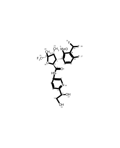 COc1c([C@@H]2[C@@H](C(=O)Nc3ccc([C@@H](O)CO)nc3)O[C@](C)(C(F)(F)F)[C@@H]2C)ccc(F)c1C(F)F